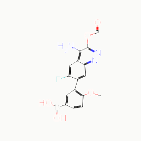 COc1ccc(B(O)O)cc1-c1cc2nnc(OC=O)c(N)c2cc1F